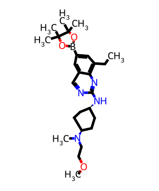 CCc1cc(B2OC(C)(C)C(C)(C)O2)cc2cnc(N[C@H]3CC[C@H](N(C)CCOC)CC3)nc12